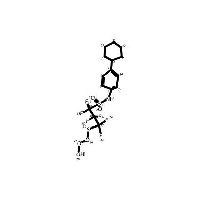 O=S(=O)(Nc1ccc(C2CCCCC2)cc1)C(F)(F)C(F)(F)C(F)(F)SOOO